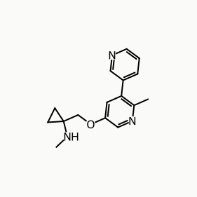 CNC1(COc2cnc(C)c(-c3cccnc3)c2)CC1